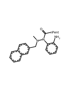 CCCCCC(=O)N(c1ccccc1N)N(C)Cc1ccc2ccccc2c1